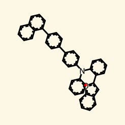 c1ccc(N(c2ccc(-c3ccc(-c4cccc5ccccc45)cc3)cc2)c2ccccc2-c2cc3ccccc3o2)cc1